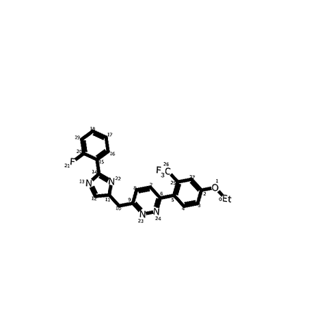 CCOc1ccc(-c2ccc(CC3C=NC(c4ccccc4F)=N3)nn2)c(C(F)(F)F)c1